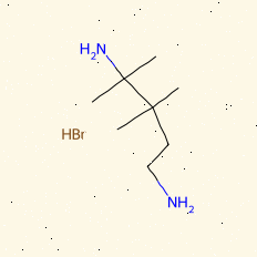 Br.CC(C)(N)C(C)(C)CCN